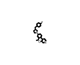 CC1Oc2cnccc2-c2ccc(N3CCC(Cc4ccc(F)cc4)C3)cc21